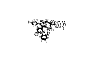 Cc1ccccc1-n1nc(-c2c(-c3ccc(F)cc3)nn3c2NCC(OC(=O)O)C3)ccc1=O